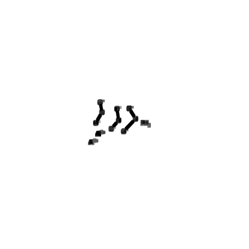 P.[Al+3].[Al+3].[O-]O[O-].[O-]O[O-].[O-]O[O-]